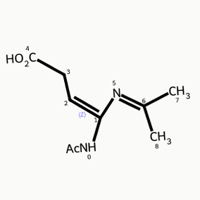 CC(=O)N/C(=C/CC(=O)O)N=C(C)C